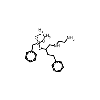 CO[Si](Cc1ccccc1)(OC)OC(CCc1ccccc1)CNCCN